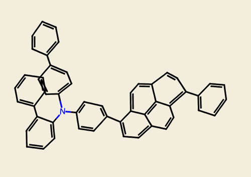 c1ccc(-c2ccc(N(c3ccc(-c4ccc5ccc6c(-c7ccccc7)ccc7ccc4c5c76)cc3)c3ccccc3-c3ccccc3)cc2)cc1